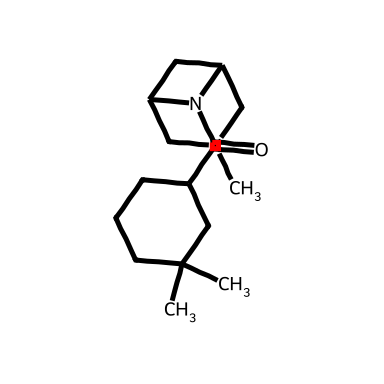 CN1CC2CC(C1)N2C(=O)C1CCCC(C)(C)C1